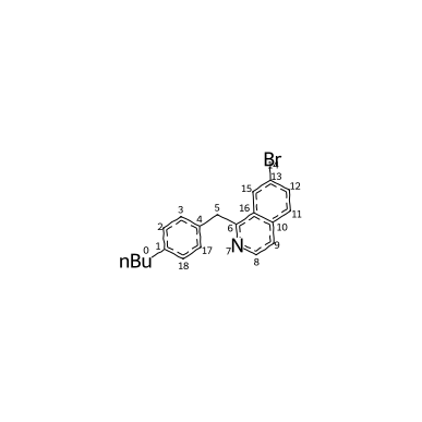 CCCCc1ccc(Cc2nccc3ccc(Br)cc23)cc1